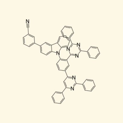 N#Cc1cccc(-c2ccc3c(c2)c2ccccc2n3-c2ccc(-c3cc(-c4ccccc4)nc(-c4ccccc4)n3)cc2-c2nc(-c3ccccc3)nc(-c3ccccc3)n2)c1